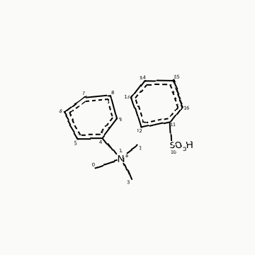 C[N+](C)(C)c1ccccc1.O=S(=O)(O)c1ccccc1